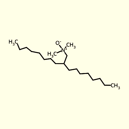 CCCCCCCCC(CCCCCCCC)C[N+](C)(C)[O-]